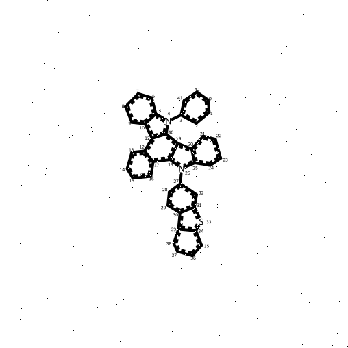 c1ccc(-n2c3ccccc3c3c4ccccc4c4c(c5ccccc5n4-c4ccc5c(c4)sc4ccccc45)c32)cc1